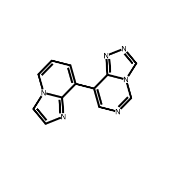 c1cc(-c2cncn3cnnc23)c2nccn2c1